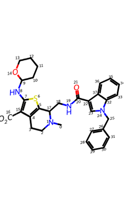 CN1CCc2c(sc(NC3CCCCO3)c2C(=O)O)C1CNC(=O)c1cn(Cc2ccccc2)c2ccccc12